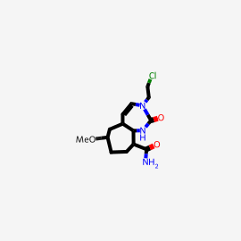 COC1CCC(C(N)=O)C2NC(=O)N(CCCl)C=CC2C1